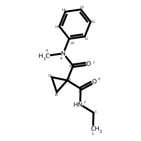 CCNC(=O)C1(C(=O)N(C)c2ccccc2)CC1